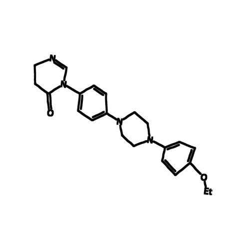 CCOc1ccc(N2CCN(c3ccc(N4C=NCCC4=O)cc3)CC2)cc1